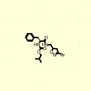 CC(C)COC(=O)N[C@@H](Cc1ccccc1)C(=O)NCC1CC(Br)=NO1